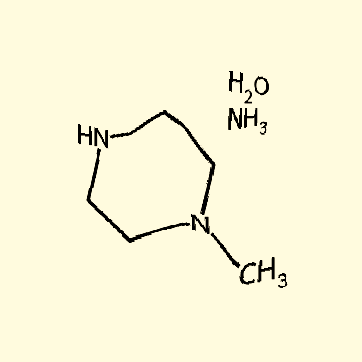 CN1CCNCC1.N.O